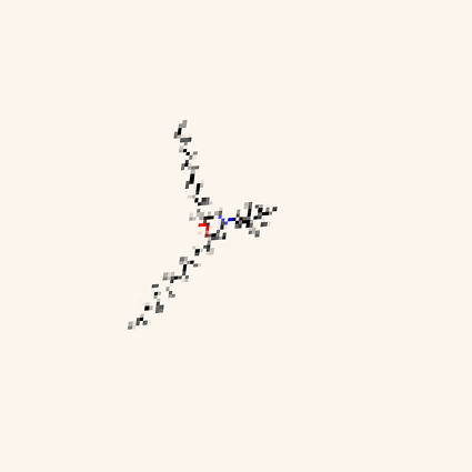 CCCCCCCCCCCCC1CN(CC[Si](C)(C)C(C)(C)C)CC(CCCCCCCCCCCC)O1